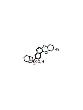 CC[C@H]1CC[C@@H](Oc2ccc3cc(C(=O)N4C5CCCC4CC(C(=O)O)C5)ccc3c2Cl)CC1